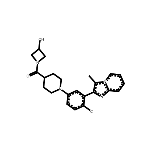 Cc1c(-c2cc(N3CCC(C(=O)N4CC(O)C4)CC3)ccc2Cl)nc2ccccn12